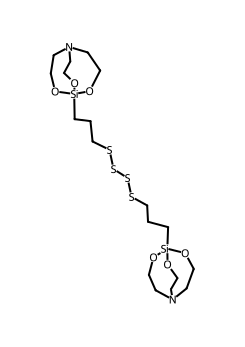 C(CSSSSCCC[Si]12OCCN(CCO1)CCO2)C[Si]12OCCN(CCO1)CCO2